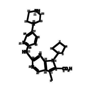 Cc1c(C(=O)O)n(C2CCCC2)c2nc(Nc3ccc(N4CCNCC4)cn3)ncc12